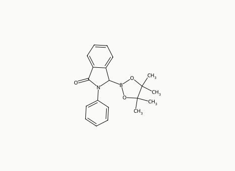 CC1(C)OB(C2c3ccccc3C(=O)N2c2ccccc2)OC1(C)C